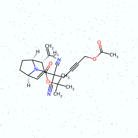 C=C(C)[C@@H]1C(C(C#N)(C#N)CC#CCOC(C)=O)=C[C@H]2CC[C@@H]1N2C(=O)OC(C)(C)C